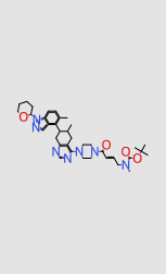 Cc1ccc2c(cnn2C2CCCCO2)c1C1Cc2ncnc(N3CCN(C(=O)/C=C/CN(C)C(=O)OC(C)(C)C)CC3)c2CC1C